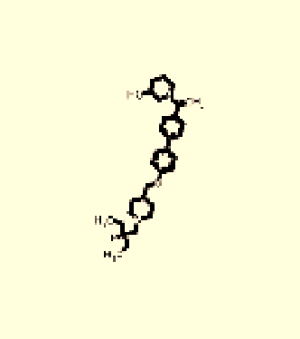 C=C(c1ccc(-c2ccc(OCC3CCN(CC(F)(CC)CC)CC3)cc2)cc1)N1CCCC(O)C1